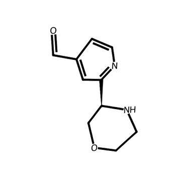 O=Cc1ccnc([C@@H]2COCCN2)c1